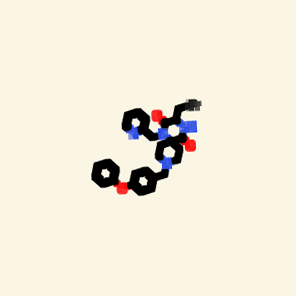 CC(C)CC1NC(=O)C2(CCN(Cc3ccc(Oc4ccccc4)cc3)CC2)N(Cc2ccccn2)C1=O